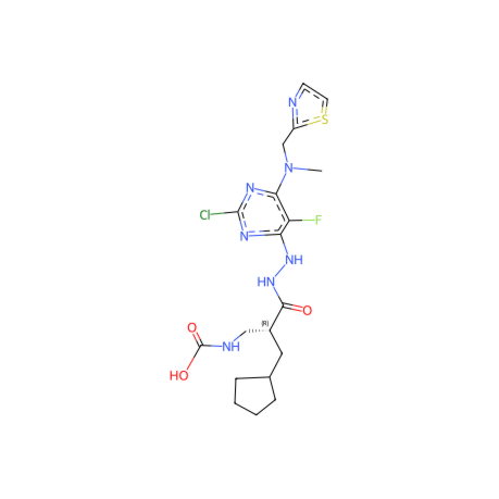 CN(Cc1nccs1)c1nc(Cl)nc(NNC(=O)[C@@H](CNC(=O)O)CC2CCCC2)c1F